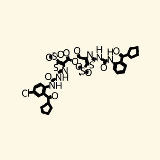 CS(=O)(=O)c1sc(NC(=O)Nc2ccccc2C(=O)C2CCCC2)nc1C(=O)OC(=O)c1nc(NC(=O)Nc2ccc(Cl)cc2C(=O)C2CCCC2)sc1S(C)(=O)=O